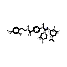 COc1ccc(CCNC(=O)c2ccc(N/C(=N/[C@@H]3C[C@H](C(C)C)C[C@H](C)[C@@H]3C)N3CCN[C@@H](C)C3)cc2)c(F)c1